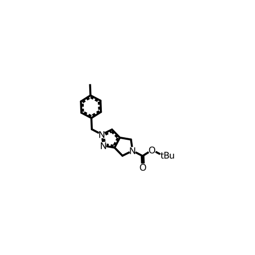 Cc1ccc(Cn2cc3c(n2)CN(C(=O)OC(C)(C)C)C3)cc1